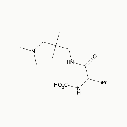 CC(C)C(NC(=O)O)C(=O)NCC(C)(C)CN(C)C